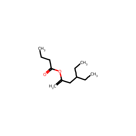 C=C(CC(CC)CC)OC(=O)CCC